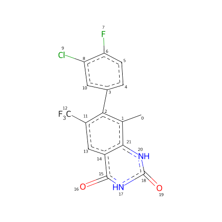 Cc1c(-c2ccc(F)c(Cl)c2)c(C(F)(F)F)cc2c(=O)[nH]c(=O)[nH]c12